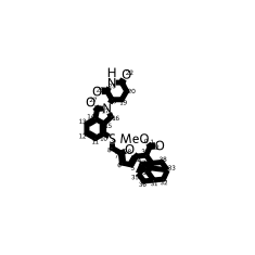 COC(=O)C(c1ccc(CSc2cccc3c2CN(C2CCC(=O)NC2=O)C3=O)o1)C12CC3CC(CC(C3)C1)C2